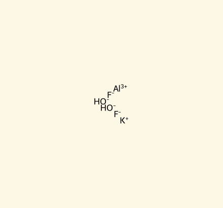 [Al+3].[F-].[F-].[K+].[OH-].[OH-]